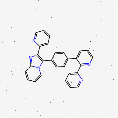 c1ccc(-c2ncccc2-c2ccc(-c3c(-c4ccccn4)nc4ccccn34)cc2)nc1